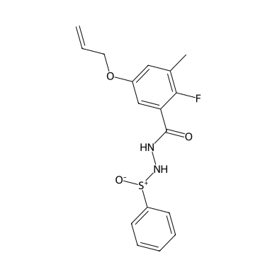 C=CCOc1cc(C)c(F)c(C(=O)NN[S+]([O-])c2ccccc2)c1